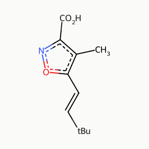 Cc1c(C(=O)O)noc1/C=C/C(C)(C)C